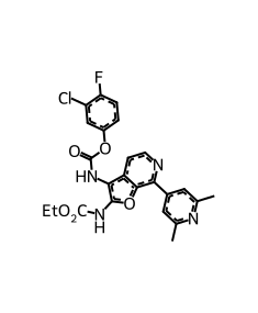 CCOC(=O)Nc1oc2c(-c3cc(C)nc(C)c3)nccc2c1NC(=O)Oc1ccc(F)c(Cl)c1